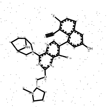 C#Cc1c(F)ccc2cc(O)cc(-c3cnc4c(N5CC6CCC(C5)N6)nc(OC[C@@H]5CCCN5C)nc4c3F)c12